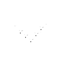 [Ba+2].[Ba+2].[O]=[Ti]([O-])[O-].[O]=[Ti]([O-])[O-].[O]=[Ti]([O-])[O-].[O]=[Ti]([O-])[O-].[O]=[Ti]([O-])[O-].[Y+3].[Y+3]